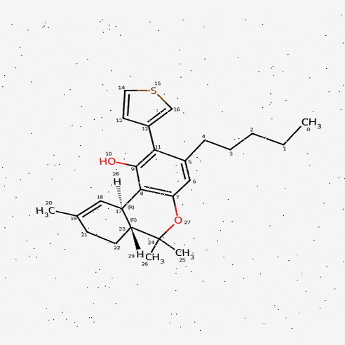 CCCCCc1cc2c(c(O)c1-c1ccsc1)[C@@H]1C=C(C)CC[C@H]1C(C)(C)O2